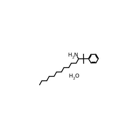 CCCCCCCCCCCC(N)C(C)(C)c1ccccc1.O